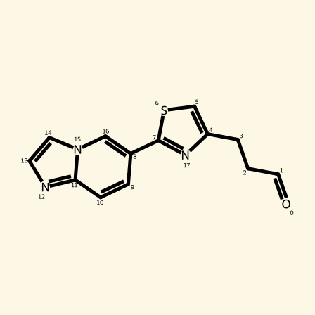 O=CCCc1csc(-c2ccc3nccn3c2)n1